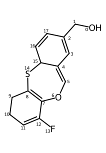 OCC1=CC2=COC3=C(CCC=C3F)SC2C=C1